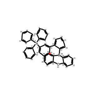 c1ccc([Si](c2ccccc2)(c2ccccc2)c2cccc(-c3ccccc3B3c4ccccc4Oc4ccccc43)c2)cc1